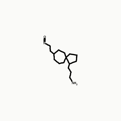 NCCCC1CCCC12CCCC(CCN=O)CC2